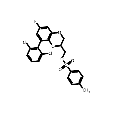 Cc1ccc(S(=O)(=O)OCC2COc3cc(F)cc(-c4c(Cl)cccc4Cl)c3O2)cc1